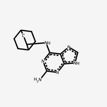 Nc1nc(NC2CC3CCC2CC3)c2nc[nH]c2n1